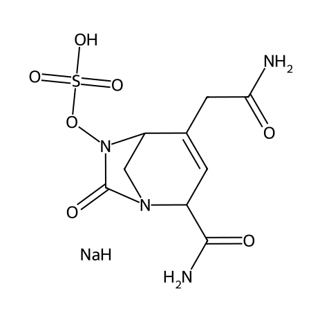 NC(=O)CC1=CC(C(N)=O)N2CC1N(OS(=O)(=O)O)C2=O.[NaH]